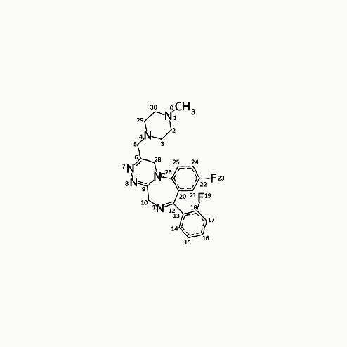 CN1CCN(CC2=NN=C3CN=C(c4ccccc4F)c4cc(F)ccc4N3C2)CC1